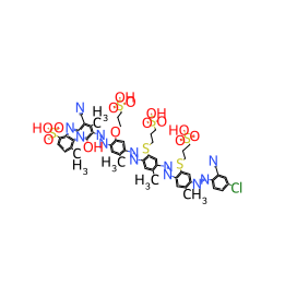 Cc1cc(N=Nc2cc(SCCCS(=O)(=O)O)c(N=Nc3cc(OCCCS(=O)(=O)O)c(N=Nc4c(C)c(C#N)c5nc6c(S(=O)(=O)O)ccc(C)c6n5c4O)cc3C)cc2C)c(SCCCS(=O)(=O)O)cc1N=Nc1ccc(Cl)cc1C#N